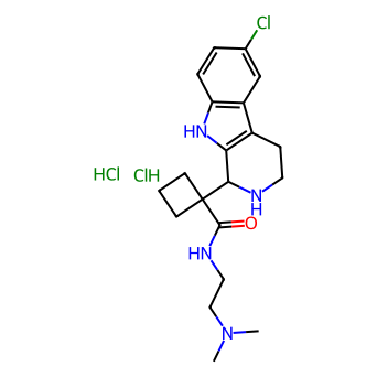 CN(C)CCNC(=O)C1(C2NCCc3c2[nH]c2ccc(Cl)cc32)CCC1.Cl.Cl